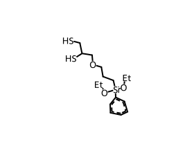 CCO[Si](CCCOCC(S)CS)(OCC)c1ccccc1